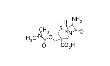 CN(C)C(=O)OCC1(C(=O)O)CS[C@@H]2C(N)C(=O)N2C1